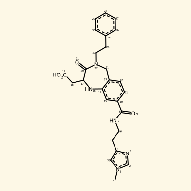 Cn1cnc(CCNC(=O)c2ccc3c(c2)NC(CC(=O)O)C(=O)N(CCc2ccccc2)C3)c1